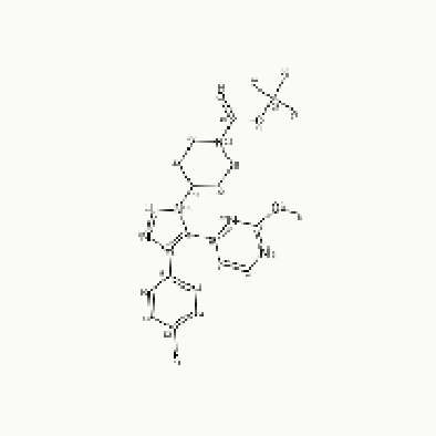 COc1nccc(-c2c(-c3ccc(F)cc3)ncn2C2CCN(C(=O)OC(C)(C)C)CC2)n1